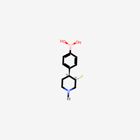 CCN1CC[C@@H](c2ccc(B(O)O)cc2)[C@H](F)C1